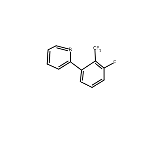 Fc1cccc(-c2bcccc2)c1C(F)(F)F